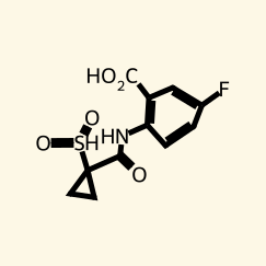 O=C(O)c1cc(F)ccc1NC(=O)C1([SH](=O)=O)CC1